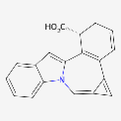 O=C(O)[C@@H]1CC=CC2=C1c1cc3ccccc3n1C=C1C=C12